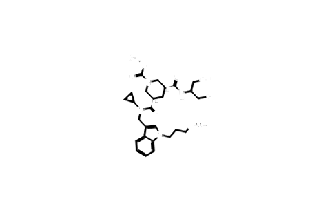 COCCCn1cc(CN(C(=O)[C@@H]2C[C@H](C(=O)NC(CO)CC(C)C)CN(C(=O)OC(C)(C)C)C2)C2CC2)c2ccccc21